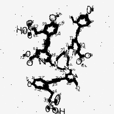 CCc1cc(OC)ccc1C#Cc1cc(CN2CCN(Cc3cc(C#Cc4ccc(OC)cc4CCS(=O)(=O)O)cc(C)n3)CCN(Cc3cc(C#Cc4ccc(OC)cc4CCS(=O)(=O)O)cc(C(=O)OC)n3)CC2)nc(C(=O)OC)c1